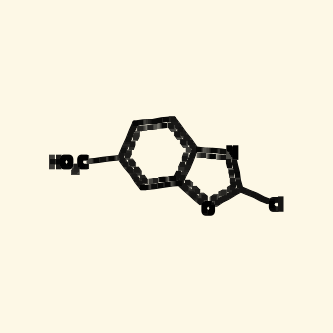 O=C(O)c1ccc2nc(Cl)oc2c1